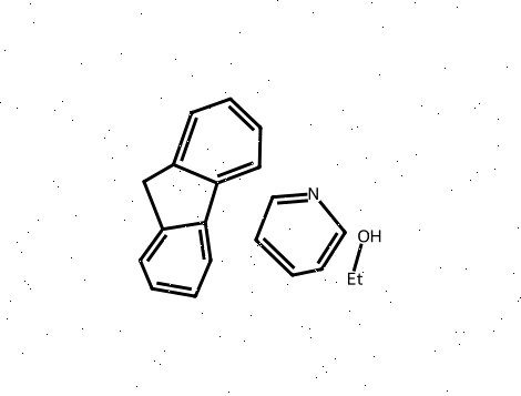 CCO.c1ccc2c(c1)Cc1ccccc1-2.c1ccncc1